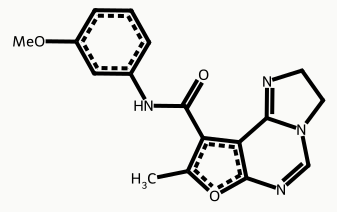 COc1cccc(NC(=O)c2c(C)oc3c2C2=NCCN2C=N3)c1